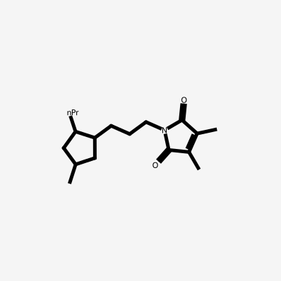 CCCC1CC(C)CC1CCCN1C(=O)C(C)=C(C)C1=O